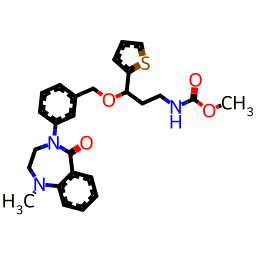 COC(=O)NCCC(OCc1cccc(N2CCN(C)c3ccccc3C2=O)c1)c1cccs1